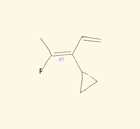 C=C/C(=C(\C)F)C1CC1